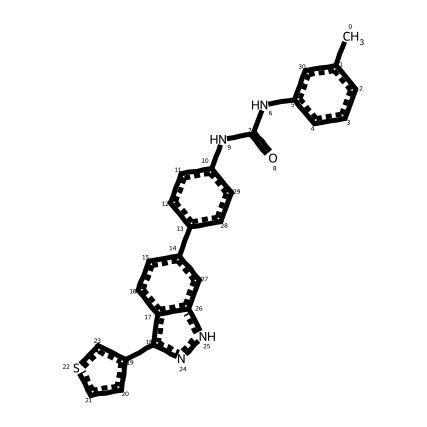 Cc1cccc(NC(=O)Nc2ccc(-c3ccc4c(-c5ccsc5)n[nH]c4c3)cc2)c1